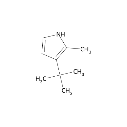 Cc1[nH]ccc1C(C)(C)C